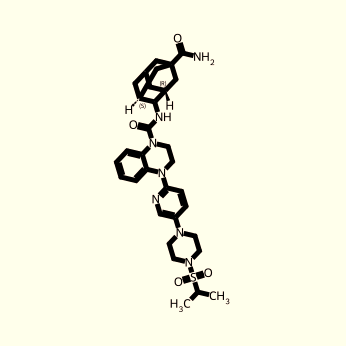 CC(C)S(=O)(=O)N1CCN(c2ccc(N3CCN(C(=O)NC4[C@@H]5CC6C[C@H]4CC(C(N)=O)(C6)C5)c4ccccc43)nc2)CC1